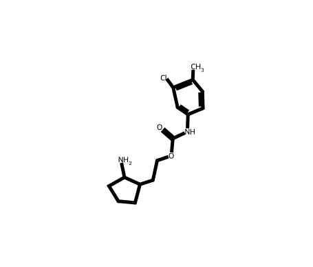 Cc1ccc(NC(=O)OCCC2CCCC2N)cc1Cl